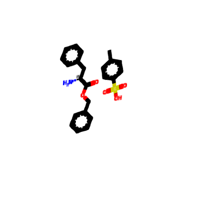 Cc1ccc(S(=O)(=O)O)cc1.N[C@H](Cc1ccccc1)C(=O)OCc1ccccc1